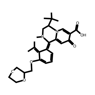 CC(C)=c1c(OCC2CCCCO2)ccc/c1=C1\c2cc(=O)c(C(=O)O)cn2C(C(C)(C)C)CN1C